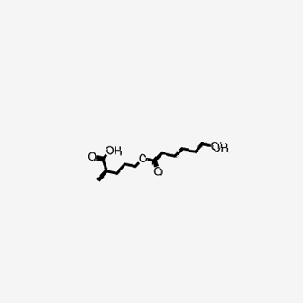 C=C(CCCOC(=O)CCCCCO)C(=O)O